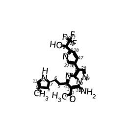 CC(=O)c1c(CC[C@H]2CC(C)=CN2)nc2c(-c3ccc(C(O)C(F)(F)F)nc3)cnn2c1N